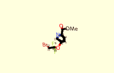 COC(=O)c1ccc(OC(F)(F)CBr)cn1